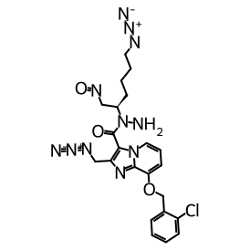 [N-]=[N+]=NCCCC[C@H](CN=O)N(N)C(=O)c1c(CN=[N+]=[N-])nc2c(OCc3ccccc3Cl)cccn12